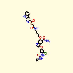 C=N[C@H](Cc1cn(C)c2ccccc12)C(=O)SCC(=O)NCCCCCOc1cc2nccc(Oc3ccc(NC(=O)NC4CC4)c(Cl)c3)c2cc1C(N)=O